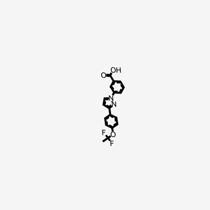 CC(F)(F)Oc1ccc(-c2ccn(-c3cccc(C(=O)O)c3)n2)cc1